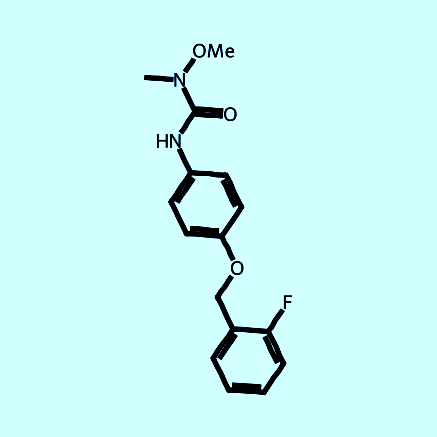 CON(C)C(=O)Nc1ccc(OCc2ccccc2F)cc1